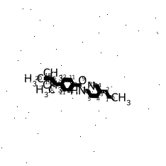 CCCc1ccc(NC(=O)c2ccc(/C(C)=C/C(C)(C)C)cc2)nc1